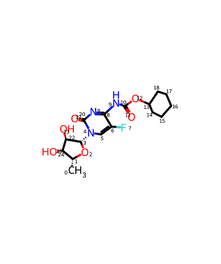 C[C@H]1O[C@@H](n2cc(F)c(NC(=O)OC3CCCCC3)nc2=O)[C@H](O)[C@@H]1O